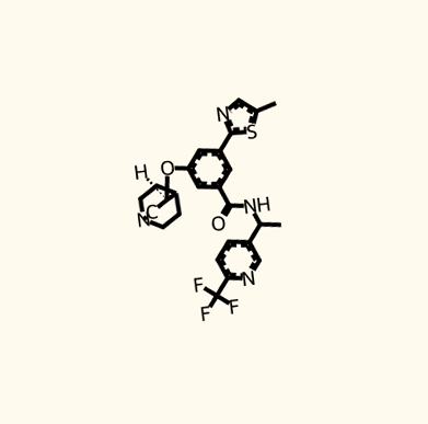 Cc1cnc(-c2cc(O[C@@H]3CN4CCC3CC4)cc(C(=O)NC(C)c3ccc(C(F)(F)F)nc3)c2)s1